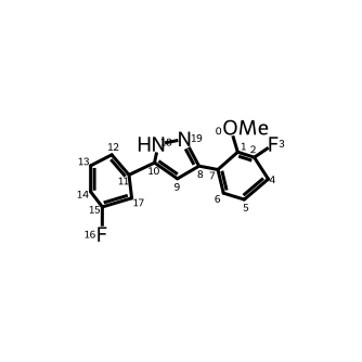 COc1c(F)cccc1-c1cc(-c2cccc(F)c2)[nH]n1